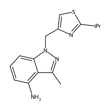 Cc1nn(Cc2csc(C(C)C)n2)c2cccc(N)c12